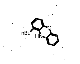 CCCCc1cccc2c1Nc1ccccc1O2